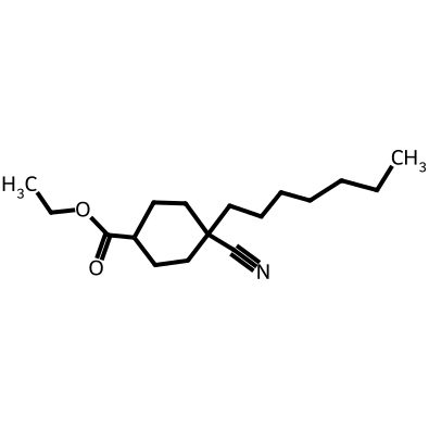 CCCCCCCC1(C#N)CCC(C(=O)OCC)CC1